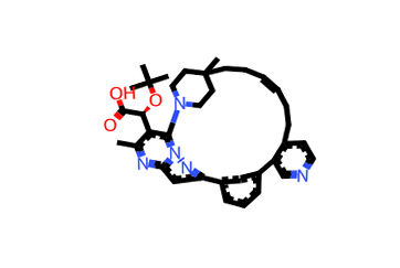 Cc1nc2cc3nn2c(c1[C@H](OC(C)(C)C)C(=O)O)N1CCC(C)(CC/C=C\CCc2ccncc2-c2cccc-3c2)CC1